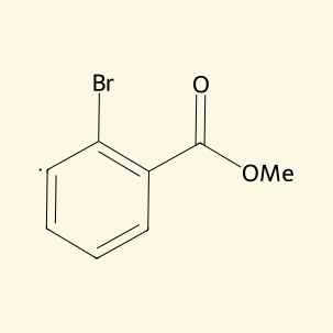 COC(=O)c1ccc[c]c1Br